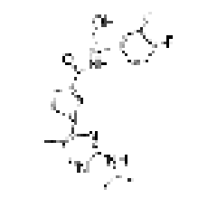 CCC(C)Nc1ncc(C)c(-n2ccc(C(=O)N[C@H](CO)c3ccc(F)c(Cl)c3)c2)n1